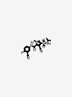 CC(C)NS(=O)(=O)c1cn(C)c(C(=O)Nc2ccc(F)c(C#N)c2)c1C#N